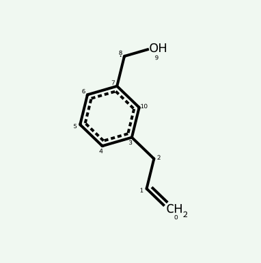 C=CCc1cccc([CH]O)c1